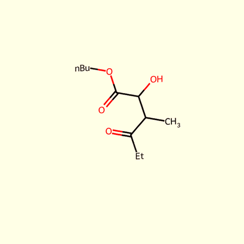 CCCCOC(=O)C(O)C(C)C(=O)CC